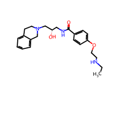 CCNCCOc1ccc(C(=O)NC[C@H](O)CN2CCc3ccccc3C2)cc1